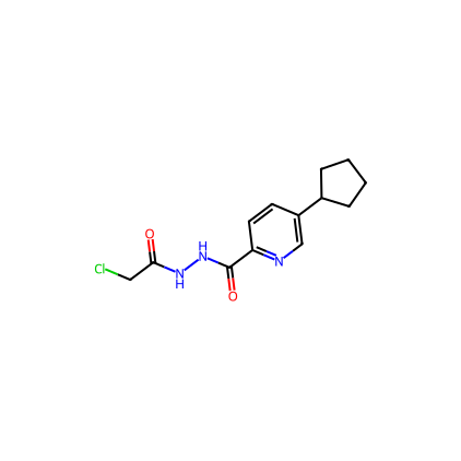 O=C(CCl)NNC(=O)c1ccc(C2CCCC2)cn1